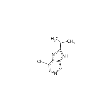 CC(C)c1nc2c(Cl)cncc2[nH]1